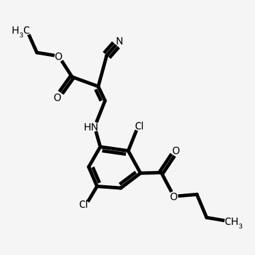 CCCOC(=O)c1cc(Cl)cc(NC=C(C#N)C(=O)OCC)c1Cl